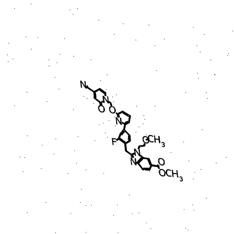 COCCn1c(Cc2ccc(-c3cccc(OCn4ccc(C#N)cc4=O)n3)cc2F)nc2ccc(C(=O)OC)cc21